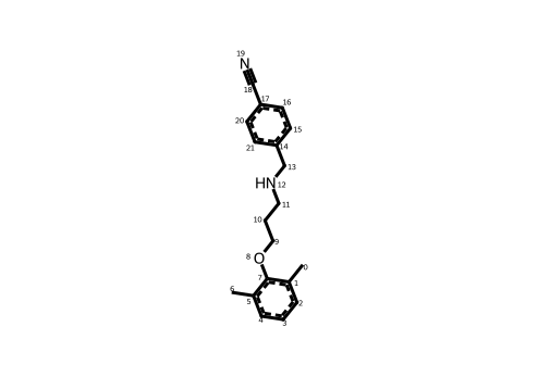 Cc1cccc(C)c1OCCCNCc1ccc(C#N)cc1